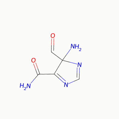 NC(=O)C1=NC=NC1(N)C=O